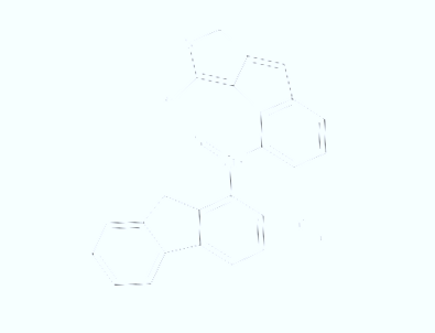 [Cl-].[Cl-].[S]=[Zr+2]([c]1cccc2c1Cc1ccccc1-2)[c]1cccc2c1C1=C(Br)SCC1=C2